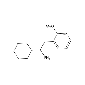 COc1ccccc1CC(P)C1CCCCC1